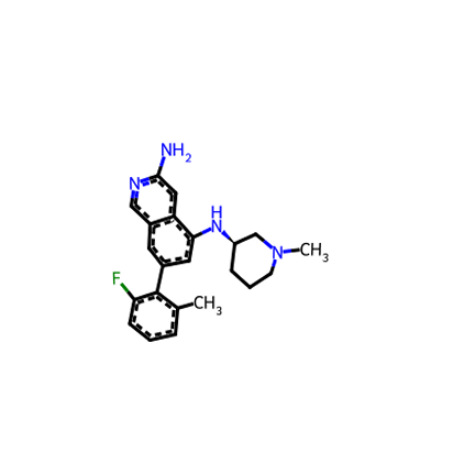 Cc1cccc(F)c1-c1cc(N[C@@H]2CCCN(C)C2)c2cc(N)ncc2c1